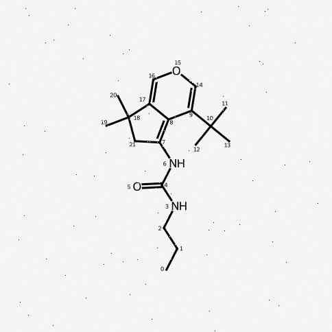 CCCNC(=O)NC1=C2C(C(C)(C)C)=COC=C2C(C)(C)C1